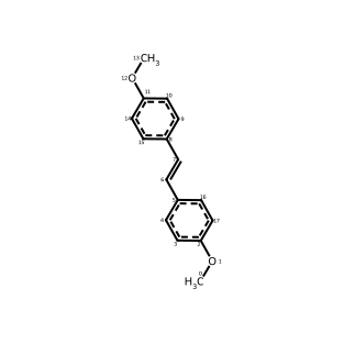 COc1ccc(C=Cc2ccc(OC)cc2)cc1